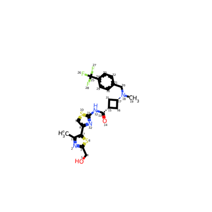 Cc1nc(CO)sc1-c1csc(NC(=O)[C@H]2C[C@@H](N(C)Cc3ccc(C(F)(F)F)cc3)C2)n1